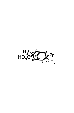 CC(C)C1(C)CC2CC(CC(C)(C(=O)O)C2)C1